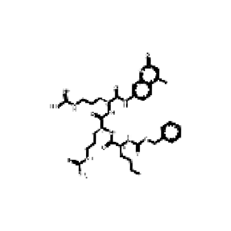 CCCC[C@H](NC(=O)OCc1ccccc1)C(=O)N[C@@H](CCCNC(=N)N)C(=O)N[C@@H](CCCNC(=N)N)C(=O)Nc1ccc2c(C)cc(=O)oc2c1